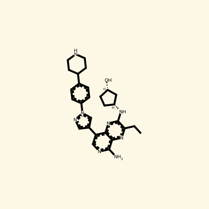 CCc1nc2c(N)ncc(-c3cnn(-c4ccc(C5CCNCC5)cc4)c3)c2nc1N[C@@H]1CC[C@H](O)C1